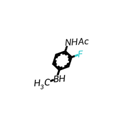 CBc1ccc(NC(C)=O)c(F)c1